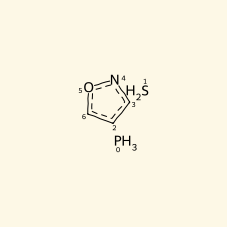 P.S.c1cnoc1